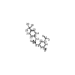 C=C(C)c1cc(F)cc(CN(C)Cc2ccc(C(C)(C)C)cc2)c1